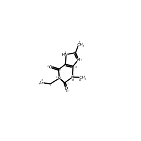 CC(=O)Cn1c(=O)c2[nH]c(C)nc2n(C)c1=O